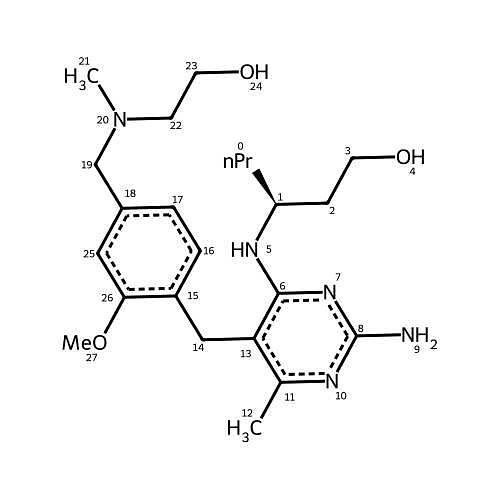 CCC[C@@H](CCO)Nc1nc(N)nc(C)c1Cc1ccc(CN(C)CCO)cc1OC